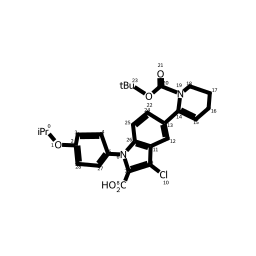 CC(C)Oc1ccc(-n2c(C(=O)O)c(Cl)c3cc(C4=CCCCN4C(=O)OC(C)(C)C)ccc32)cc1